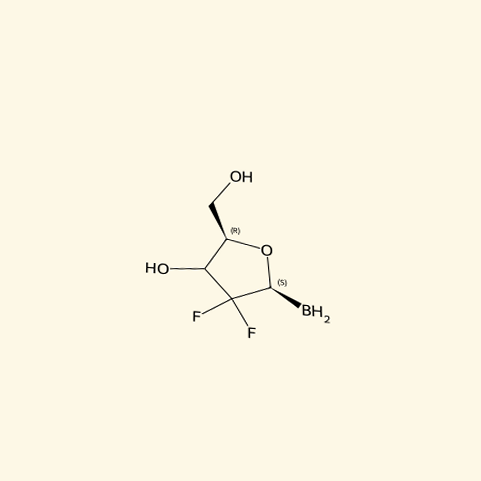 B[C@@H]1O[C@H](CO)C(O)C1(F)F